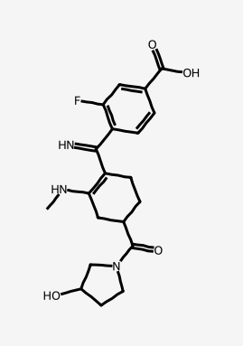 CNC1=C(C(=N)c2ccc(C(=O)O)cc2F)CCC(C(=O)N2CCC(O)C2)C1